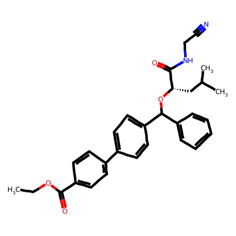 CCOC(=O)c1ccc(-c2ccc(C(O[C@@H](CC(C)C)C(=O)NCC#N)c3ccccc3)cc2)cc1